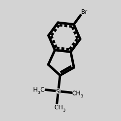 C[Si](C)(C)C1=Cc2cc(Br)ccc2C1